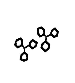 c1cc[c]([Bi]([c]2ccccc2)[c]2ccccc2)cc1.c1cc[c]([Bi]([c]2ccccc2)[c]2ccccc2)cc1